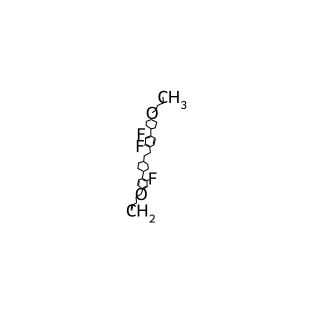 C=CCCOc1ccc(C2CCC(CCc3ccc(C4CCC(OCCCC)CC4)c(F)c3F)CC2)c(F)c1